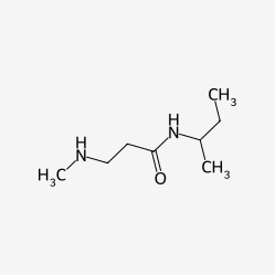 CCC(C)NC(=O)CCNC